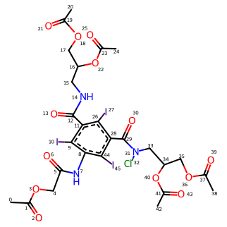 CC(=O)OCC(=O)Nc1c(I)c(C(=O)NCC(COC(C)=O)OC(C)=O)c(I)c(C(=O)N(Cl)CC(COC(C)=O)OC(C)=O)c1I